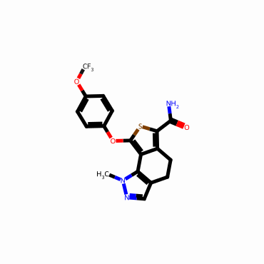 Cn1ncc2c1-c1c(Oc3ccc(OC(F)(F)F)cc3)sc(C(N)=O)c1CC2